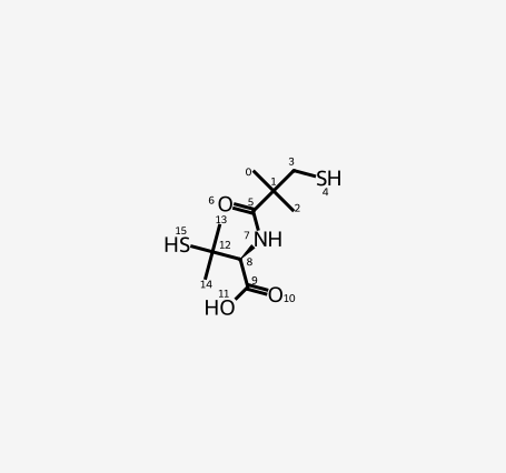 CC(C)(CS)C(=O)N[C@@H](C(=O)O)C(C)(C)S